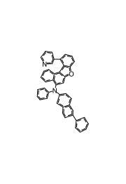 c1ccc(-c2ccc3cc(N(c4ccccc4)c4cc5oc6cccc(-c7cccnc7)c6c5c5ccccc45)ccc3c2)cc1